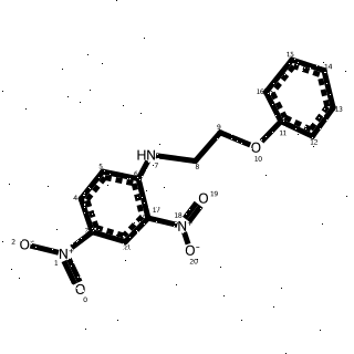 O=[N+]([O-])c1ccc(NCCOc2ccccc2)c([N+](=O)[O-])c1